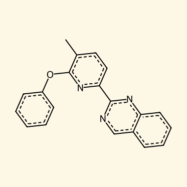 Cc1ccc(-c2ncc3ccccc3n2)nc1Oc1ccccc1